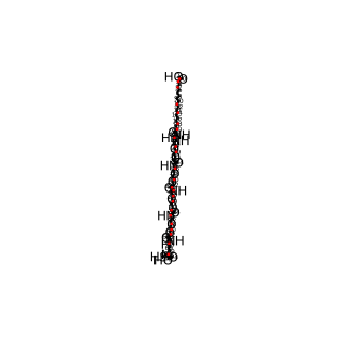 O=C(O)CCCCCCCCCCCCCCCCCCC(=O)NNNCCOCCOCC(=O)NCCOCCOCC(=O)NCCOCCOCC(=O)NCCOCCOCC(=O)NCCCC[C@H](NS)C(=O)O